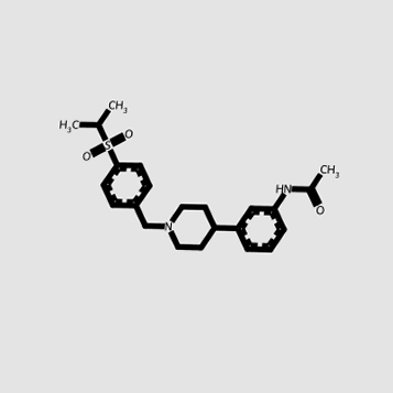 CC(=O)Nc1cccc(C2CCN(Cc3ccc(S(=O)(=O)C(C)C)cc3)CC2)c1